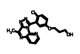 Cc1nc2cccnc2n2c(-c3cc(OCCCO)ccc3Cl)nnc12